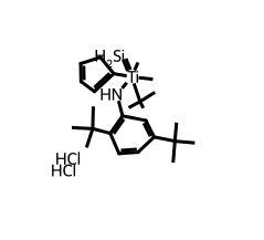 CC(C)(C)c1ccc(C(C)(C)C)c([NH][Ti]([CH3])([CH3])(=[SiH2])([C]2=CC=CC2)[C](C)(C)C)c1.Cl.Cl